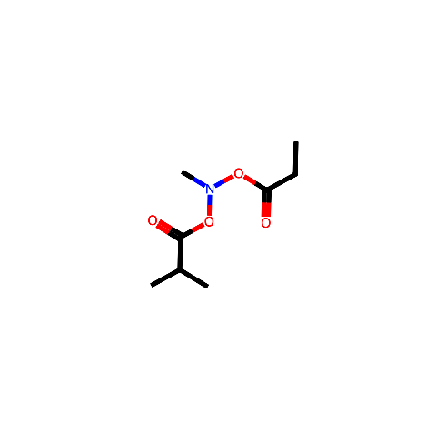 CCC(=O)ON(C)OC(=O)C(C)C